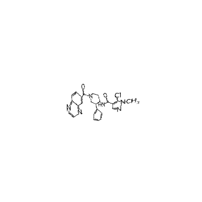 Cn1ncc(C(=O)N[C@@H]2CCN(C(=O)c3ccc4nccnc4c3)C[C@@H]2c2ccccc2)c1Cl